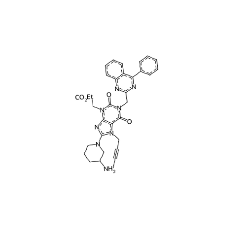 CC#CCn1c(N2CCCC(N)C2)nc2c1c(=O)n(Cc1nc(-c3ccccc3)c3ccccc3n1)c(=O)n2CC(=O)OCC